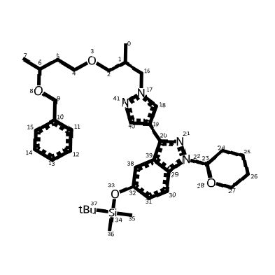 CC(COCCC(C)OCc1ccccc1)Cn1cc(-c2nn(C3CCCCO3)c3ccc(O[Si](C)(C)C(C)(C)C)cc23)cn1